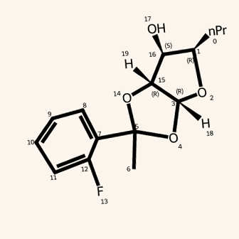 CCC[C@H]1O[C@@H]2OC(C)(c3ccccc3F)O[C@@H]2[C@H]1O